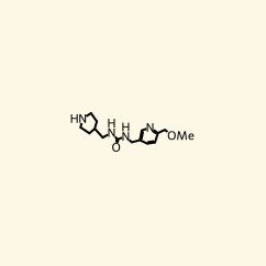 COCc1ccc(CNC(=O)NCC2CCNCC2)cn1